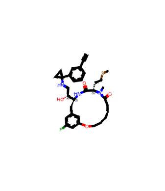 C#Cc1cccc(C2(NC[C@@H](O)[C@@H]3Cc4cc(F)cc(c4)OCCCCCC(=O)N(C)[C@@H](CCSC)C(=O)N3)CC2)c1